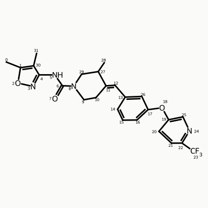 Cc1onc(NC(=O)N2CCC(=Cc3cccc(Oc4ccc(C(F)(F)F)nc4)c3)C(C)C2)c1C